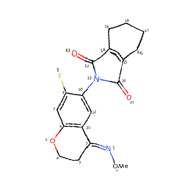 CON=C1CCOc2cc(F)c(N3C(=O)C4=C(CCCC4)C3=O)cc21